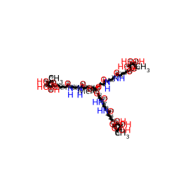 CNC(COCCC(=O)NCCCNC(=O)CCCCOC1OC(C)C(O)C(O)C1O)(COCCC(=O)NCCCNC(=O)CCCCOC1OC(C)C(O)C(O)C1O)COCCC(=O)NCCCNC(=O)CCCCOC1OC(C)C(O)C(O)C1O